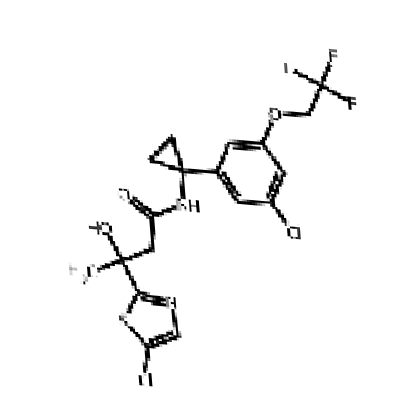 CC(O)(CC(=O)NC1(c2cc(Cl)cc(OCC(F)(F)F)c2)CC1)c1ncc(Cl)s1